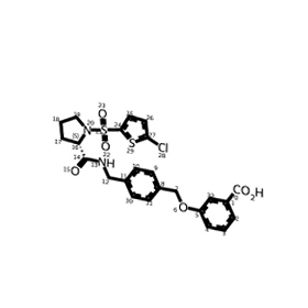 O=C(O)c1cccc(OCc2ccc(CNC(=O)[C@@H]3CCCN3S(=O)(=O)c3ccc(Cl)s3)cc2)c1